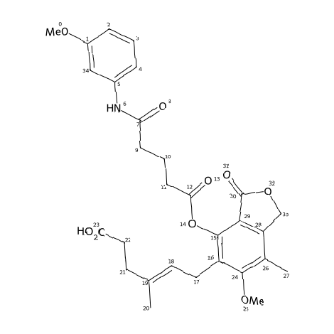 COc1cccc(NC(=O)CCCC(=O)Oc2c(C/C=C(\C)CCC(=O)O)c(OC)c(C)c3c2C(=O)OC3)c1